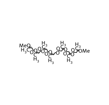 CO[C@H](C)CC(=O)O[C@H](C)CC(=O)O[C@H](C)CC(=O)OCC[C@@H](C)OC(=O)C[C@@H](C)OC(=O)C[C@@H](C)OC(=O)C[C@@H](C)OC